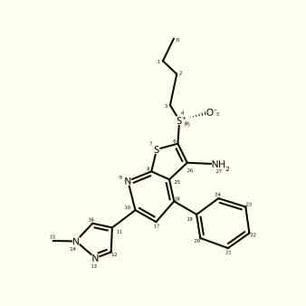 CCCC[S@+]([O-])c1sc2nc(-c3cnn(C)c3)cc(-c3ccccc3)c2c1N